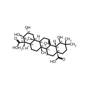 CC1(C)CC[C@]2(C(=O)O)CC[C@]3(C)C(=CC[C@@H]4[C@@]5(C)C[C@@H](O)[C@H](O)[C@@](C)(C(=O)O)[C@@H]5CC[C@]43C)[C@@H]2[C@H]1O